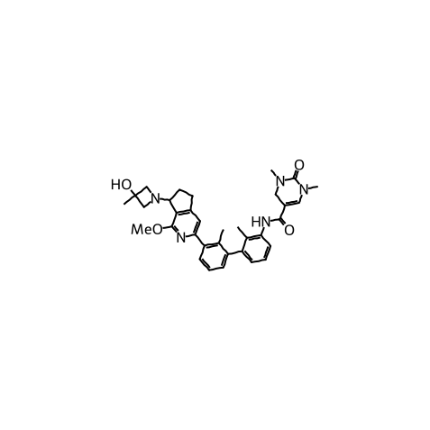 COc1nc(-c2cccc(-c3cccc(NC(=O)C4=CN(C)C(=O)N(C)C4)c3C)c2C)cc2c1C(N1CC(C)(O)C1)CC2